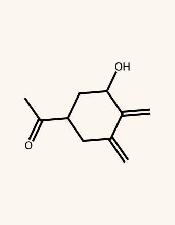 C=C1CC(C(C)=O)CC(O)C1=C